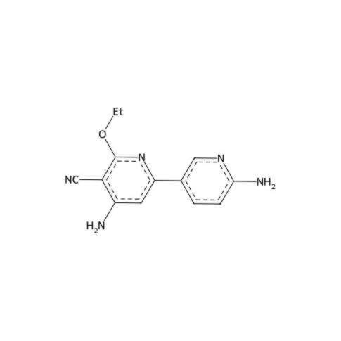 CCOc1nc(-c2ccc(N)nc2)cc(N)c1C#N